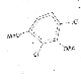 COc1ccc(Cl)c(OC(C)=O)c1Cl